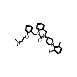 Cc1cccc(F)c1N1CCC(N2Cc3ccccc3N(Cc3ccccc3OCCN(C)C)C2=O)CC1